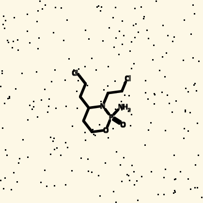 NP1(=O)OCCC(CCCl)N1CCCl